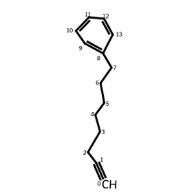 C#CCCCCCCc1ccccc1